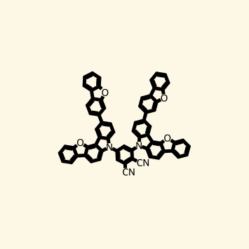 N#Cc1cc(-n2c3ccc(-c4ccc5c(c4)oc4ccccc45)cc3c3c4oc5ccccc5c4ccc32)cc(-n2c3ccc(-c4ccc5c(c4)oc4ccccc45)cc3c3c4oc5ccccc5c4ccc32)c1C#N